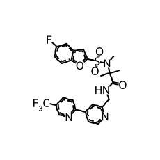 CN(C(C)(C)C(=O)NCc1cc(-c2ccc(C(F)(F)F)cn2)ccn1)S(=O)(=O)c1cc2cc(F)ccc2o1